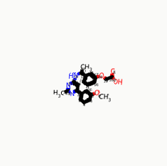 COc1cccc(-c2cc(NC(C)c3cccc(OCC(=O)O)c3)nc(C)n2)c1